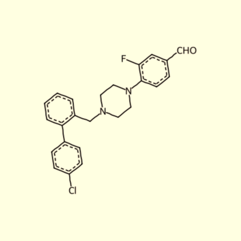 O=Cc1ccc(N2CCN(Cc3ccccc3-c3ccc(Cl)cc3)CC2)c(F)c1